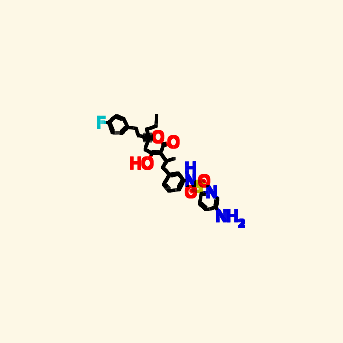 CCC[C@]1(CCc2ccc(F)cc2)CC(O)=C(C(C)Cc2cccc(NS(=O)(=O)c3ccc(N)cn3)c2)C(=O)O1